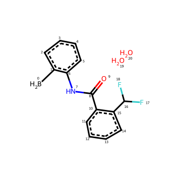 Bc1ccccc1NC(=O)c1ccccc1C(F)F.O.O